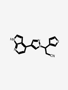 N#CCC(c1ccsc1)n1cc(-c2ccnc3[nH]ccc23)cn1